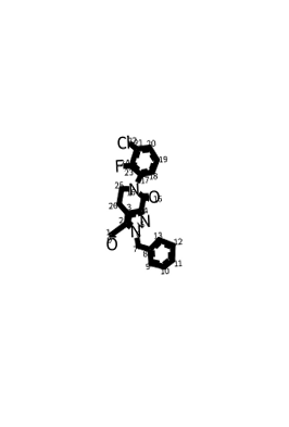 O=Cc1c2c(nn1Cc1ccccc1)C(=O)N(c1cccc(Cl)c1F)CC2